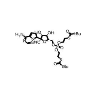 CC(C)(C)C(=O)SCCOP(=O)(OCCSC(=O)C(C)(C)C)OC[C@H]1O[C@@](C#N)(C2CC=C3C(N)=NC=NN32)[C@H](O)[C@@H]1O